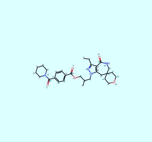 CCc1nn(CC(C)COC(=O)c2ccc(C(=O)N3CCCCC3)cc2)c2c1C(=O)NCC1(CCOCC1)C2